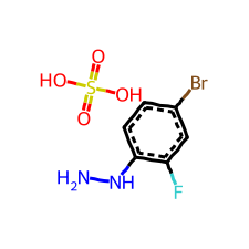 NNc1ccc(Br)cc1F.O=S(=O)(O)O